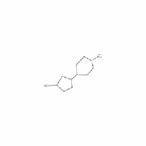 CCN1CCC(C2CCC(O)C2)CC1